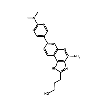 CN(C)c1ncc(-c2ccc3c(c2)nc(N)c2nc(CCCO)[nH]c23)cn1